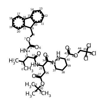 CC(C)[C@H](NC(=O)OCC1c2ccccc2-c2ccccc21)C(=O)NC(CC(=O)OC(C)(C)C)C(=O)N1CCC[C@@H](C(=O)OCC(Cl)(Cl)Cl)N1